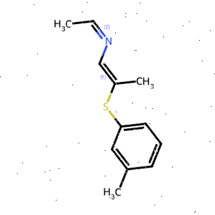 C/C=N\C=C(/C)Sc1cccc(C)c1